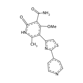 COc1c(-c2csc(-c3ccncc3)n2)c(C)[nH]c(=O)c1C(N)=O